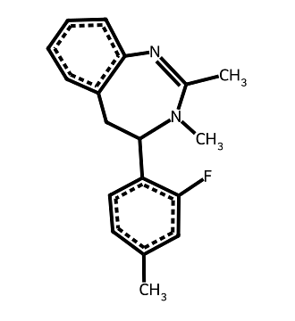 CC1=Nc2ccccc2CC(c2ccc(C)cc2F)N1C